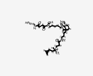 CCCCCNC(=O)CCC(=O)N(O)CCCCCNC(=O)C1(CCCCNC(=O)CCOC(C)(CC)CCC2CC2)CCCN(O)C1=O